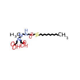 CCCCCCCCCCCCSSCCOC(=O)CCNCCN(C)CCN(CCC(=O)O)CCC(=O)O